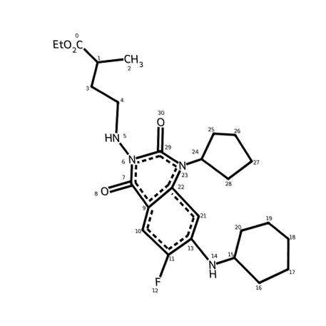 CCOC(=O)C(C)CCNn1c(=O)c2cc(F)c(NC3CCCCC3)cc2n(C2CCCC2)c1=O